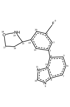 Fc1cc(-c2cccc3ncnn23)cc(C2CCON2)c1